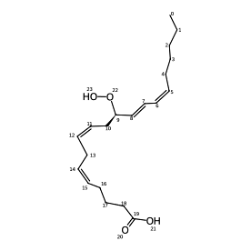 CCCCC/C=C\C=C\[C@@H](C/C=C\C/C=C\CCCC(=O)O)OO